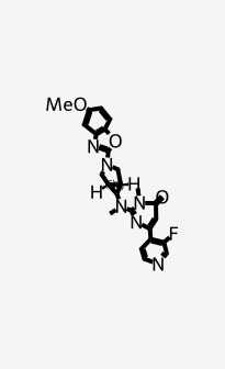 COc1ccc2oc(N3C[C@@H]4C(N(C)c5nc(-c6ccncc6F)cc(=O)n5C)[C@@H]4C3)nc2c1